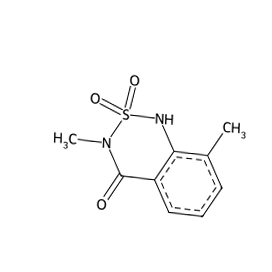 Cc1cccc2c1NS(=O)(=O)N(C)C2=O